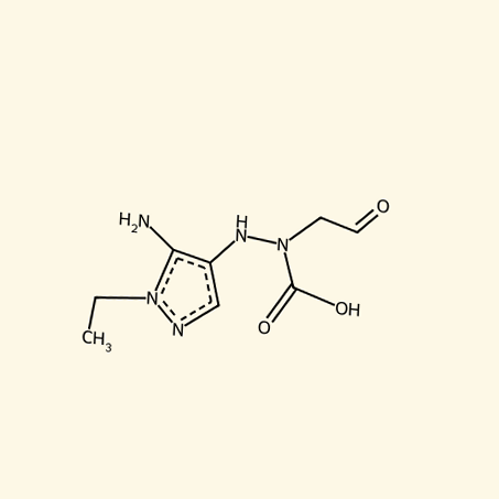 CCn1ncc(NN(CC=O)C(=O)O)c1N